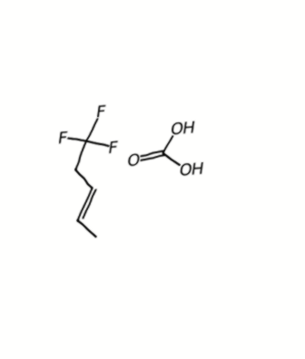 CC=CCC(F)(F)F.O=C(O)O